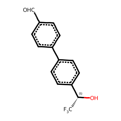 O=Cc1ccc(-c2ccc([C@H](O)C(F)(F)F)cc2)cc1